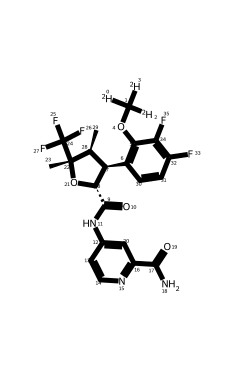 [2H]C([2H])([2H])Oc1c([C@H]2[C@H](C(=O)Nc3ccnc(C(N)=O)c3)O[C@](C)(C(F)(F)F)[C@H]2C)ccc(F)c1F